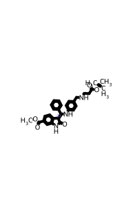 COC(=O)c1ccc2c(c1)NC(=O)/C2=C(\Nc1ccc(CNCCC(=O)OC(C)(C)C)cc1)c1ccccc1